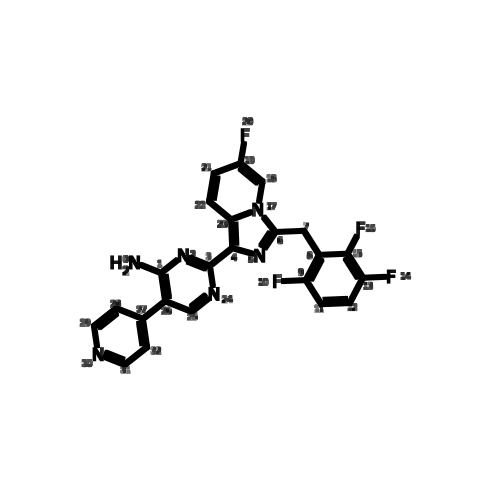 Nc1nc(-c2nc(Cc3c(F)ccc(F)c3F)n3cc(F)ccc23)ncc1-c1ccncc1